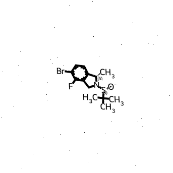 C[C@H]1c2ccc(Br)c(F)c2CN1[S@+]([O-])C(C)(C)C